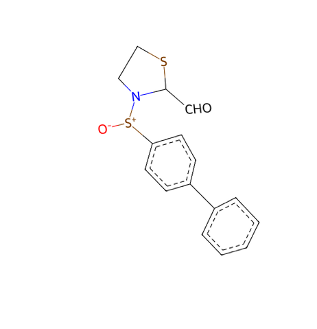 O=CC1SCCN1[S+]([O-])c1ccc(-c2ccccc2)cc1